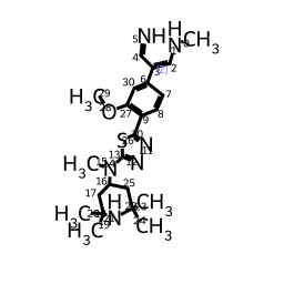 CN/C=C(\C=N)c1ccc(-c2nnc(N(C)C3CC(C)(C)NC(C)(C)C3)s2)c(OC)c1